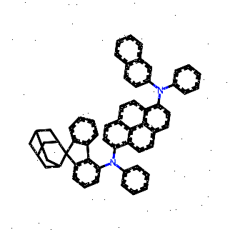 c1ccc(N(c2ccc3ccccc3c2)c2ccc3ccc4c(N(c5ccccc5)c5cccc6c5-c5ccccc5C65C6CC7CC(C6)CC5C7)ccc5ccc2c3c54)cc1